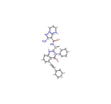 C[C@H](NC(=O)c1c(N)nn2cccnc12)c1nc2cccc(C#Cc3ccccc3)c2c(=O)n1-c1ccccc1